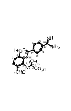 C[C@H](Nc1c(C=O)ccc(O)c1NC(=O)c1ccc(C(=N)N)cc1)C(=O)O